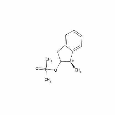 C[C@@H]1c2ccccc2CC1OP(C)(C)=O